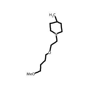 COCCCCOCCN1CCC(C)CC1